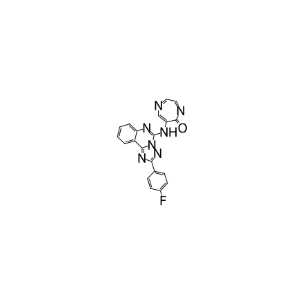 O=c1nccncc1Nc1nc2ccccc2c2nc(-c3ccc(F)cc3)nn12